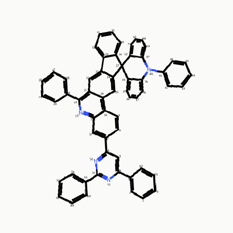 c1ccc(-c2cc(-c3ccc4c(c3)nc(-c3ccccc3)c3cc5c(cc34)C3(c4ccccc4-5)c4ccccc4N(c4ccccc4)c4ccccc43)nc(-c3ccccc3)n2)cc1